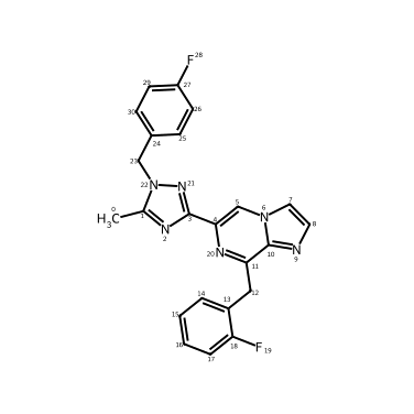 Cc1nc(-c2cn3ccnc3c(Cc3ccccc3F)n2)nn1Cc1ccc(F)cc1